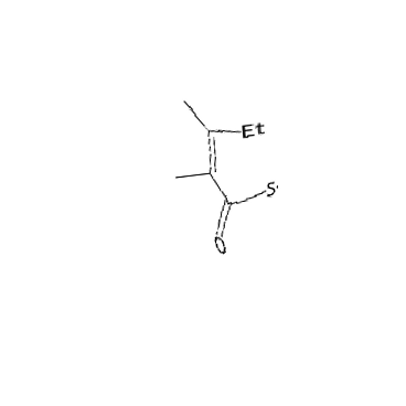 CCC(C)=C(C)C(=O)[S]